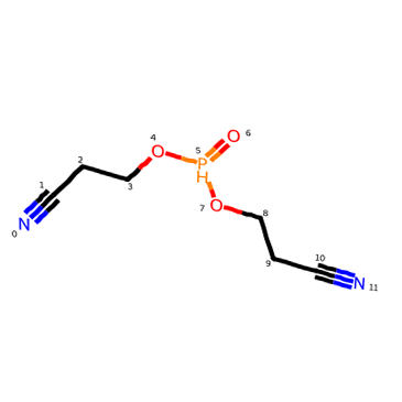 N#CCCO[PH](=O)OCCC#N